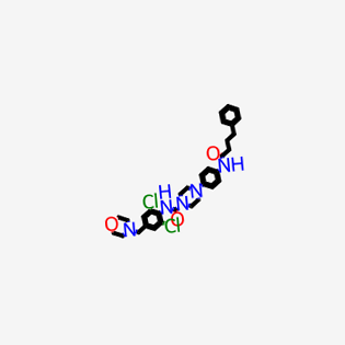 O=C(CCCc1ccccc1)Nc1ccc(N2CCN(C(=O)Nc3c(Cl)cc(CN4CCOCC4)cc3Cl)CC2)cc1